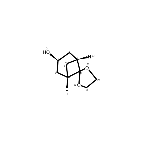 O[C@H]1C[C@H]2CC[C@@H](C1)C21OCCO1